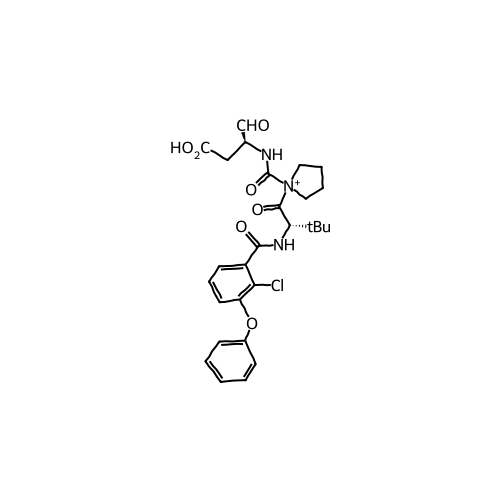 CC(C)(C)[C@H](NC(=O)c1cccc(Oc2ccccc2)c1Cl)C(=O)[N+]1(C(=O)N[C@H](C=O)CC(=O)O)CCCC1